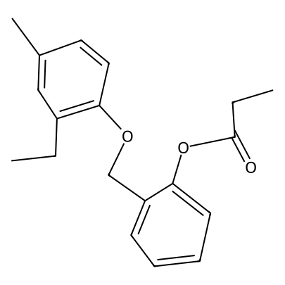 CCC(=O)Oc1ccccc1COc1ccc(C)cc1CC